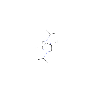 CC(C)N1C[C@H]2C[C@@H]1CN2C(C)C